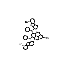 CC(C)(C)c1cc2ccc3c(N(c4ccccc4)c4cccc5c4oc4c(C#N)cccc45)cc(N(c4ccccc4)c4cccc5c4oc4c(C#N)cccc45)c4ccc(c1)c2c34